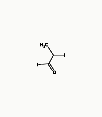 CC(I)C(=O)I